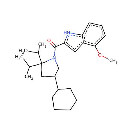 COc1cccc2[nH]c(C(=O)N3CC(C4CCCCC4)CC3(C(C)C)C(C)C)cc12